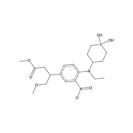 CCN(c1ccc(C(COC)CC(=O)OC)cc1[N+](=O)[O-])C1CCS(O)(O)CC1